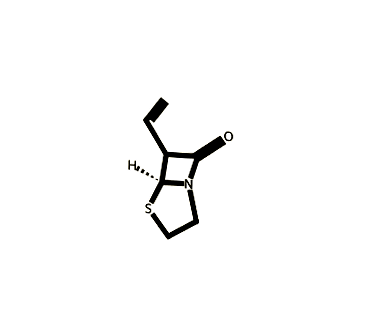 C=CC1C(=O)N2CCS[C@@H]12